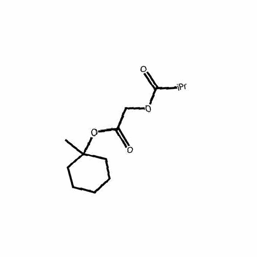 CC(C)C(=O)OCC(=O)OC1(C)CCCCC1